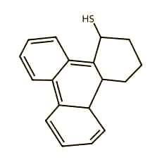 SC1CCCC2C1=c1ccccc1=C1C=CC=CC12